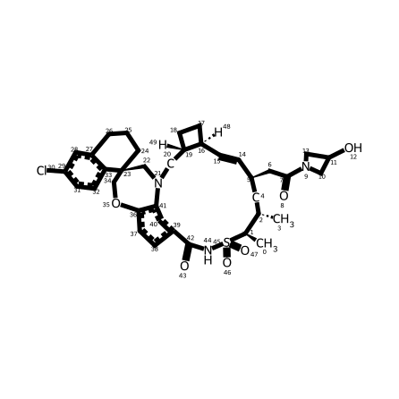 C[C@@H]1[C@@H](C)C[C@H](CC(=O)N2CC(O)C2)/C=C/[C@@H]2CC[C@H]2CN2C[C@@]3(CCCc4cc(Cl)ccc43)COc3ccc(cc32)C(=O)NS1(=O)=O